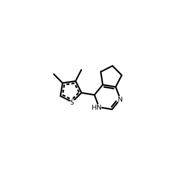 Cc1csc(C2NC=NC3=C2CCC3)c1C